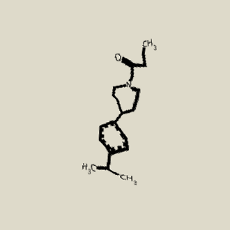 CCC(=O)N1CCC(c2ccc(C(C)C)cc2)CC1